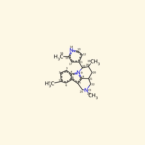 Cc1ccc2c(c1)c1c3n2C(c2ccnc(C)c2)C(C)CC3CN(C)C1